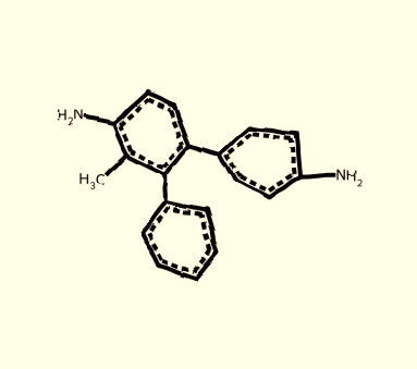 Cc1c(N)ccc(-c2ccc(N)cc2)c1-c1ccccc1